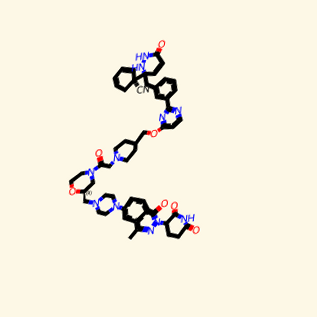 Cc1nn(C2CCC(=O)NC2=O)c(=O)c2ccc(N3CCN(C[C@@H]4CN(C(=O)CN5CCC(COc6ccnc(-c7cccc(CC8(C9(C#N)C=CC=CC9)C=CC(=O)NN8)c7)n6)CC5)CCO4)CC3)cc12